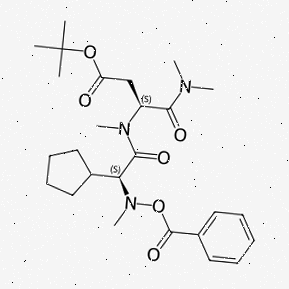 CN(C)C(=O)[C@H](CC(=O)OC(C)(C)C)N(C)C(=O)[C@H](C1CCCC1)N(C)OC(=O)c1ccccc1